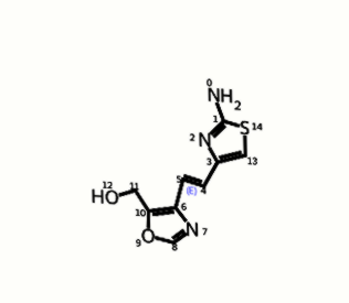 Nc1nc(/C=C/c2ncoc2CO)cs1